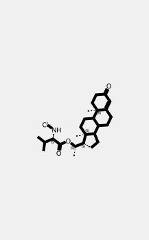 CC(C)[C@H](NCl)C(=O)O[C@@H](C)[C@H]1CCC2C3CCC4=CC(=O)CC[C@]4(C)C3CC[C@@]21C